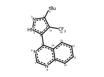 CC(C)(C)c1n[nH]c(-c2ncnc3ccccc23)c1C(F)(F)F